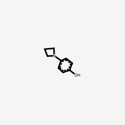 Oc1ccc(N2CCC2)cc1